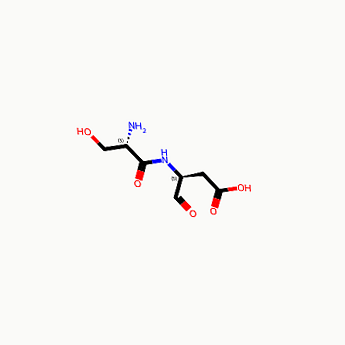 N[C@@H](CO)C(=O)N[C@H](C=O)CC(=O)O